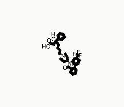 CC(CCCCN1CCC(NC(=O)c2ccccc2-c2ccc(C(F)(F)F)cc2)CC1)(CC(=O)O)c1ccccc1